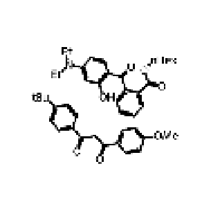 CCCCCCOC(=O)c1ccccc1C(=O)c1ccc(N(CC)CC)cc1O.COc1ccc(C(=O)CC(=O)c2ccc(C(C)(C)C)cc2)cc1